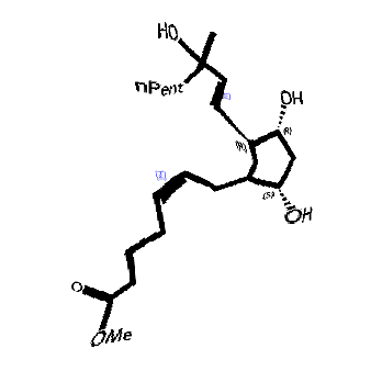 CCCCCC(C)(O)/C=C/[C@@H]1C(C/C=C\CCCC(=O)OC)[C@@H](O)C[C@H]1O